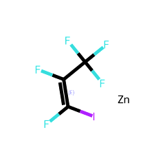 F/C(I)=C(\F)C(F)(F)F.[Zn]